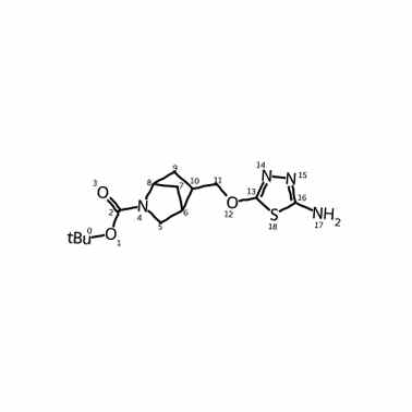 CC(C)(C)OC(=O)N1CC2CC1CC2COc1nnc(N)s1